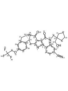 N#Cc1ccc(-n2nc3c(c2C(=O)NCC2(CO)CCCC2)C(=O)N[C@@]2(CCc4cc(OCC(F)(F)F)ccc42)C3)nc1